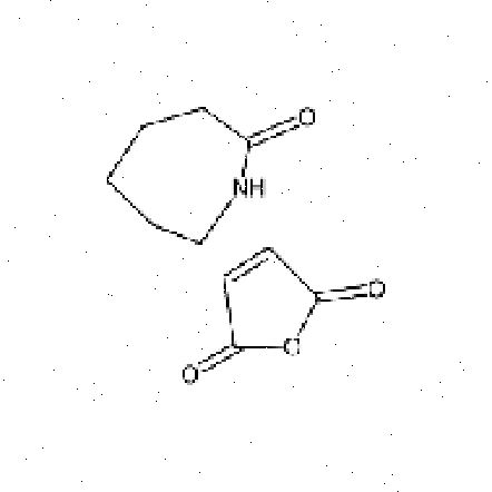 O=C1C=CC(=O)O1.O=C1CCCCCN1